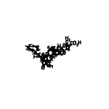 CC(C)C1=C2[C@H]3CC[C@@H]4[C@@]5(C)CC[C@H](OC(=O)[C@H]6C[C@@H](C(=O)O)C6(C)C)C(C)(C)[C@@H]5CC[C@@]4(C)[C@]3(C)CC[C@@]2(CC(=O)NCCN2CCOCC2)CC1=O